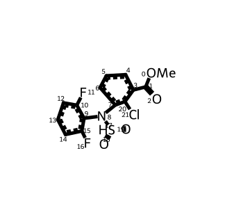 COC(=O)c1cccc(N(c2c(F)cccc2F)[SH](=O)=O)c1Cl